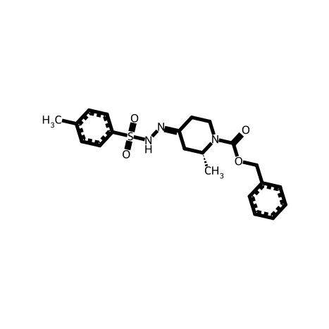 Cc1ccc(S(=O)(=O)N/N=C2/CCN(C(=O)OCc3ccccc3)[C@H](C)C2)cc1